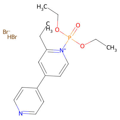 Br.CCOP(=O)(OCC)[n+]1ccc(-c2ccncc2)cc1CC.[Br-]